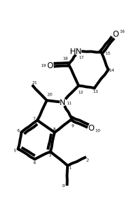 CC(C)c1cccc2c1C(=O)N(C1CCC(=O)NC1=O)C2C